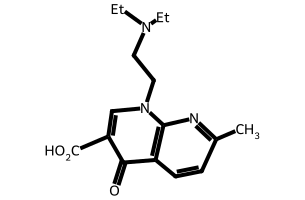 CCN(CC)CCn1cc(C(=O)O)c(=O)c2ccc(C)nc21